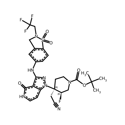 CC(C)(C)OC(=O)N1CC[C@](CC#N)(n2nc(Nc3ccc4c(c3)CN(CC(F)(F)F)S4(=O)=O)c3c(=O)[nH]ccc32)[C@H](F)C1